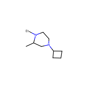 CCN1CCN(C2CCC2)CC1C